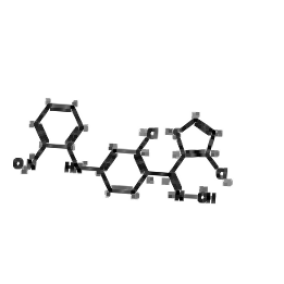 O=[N+]([O-])c1ccccc1Nc1ccc(/C(=N/O)c2sccc2Cl)c(Cl)c1